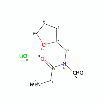 CNCC(=O)N(C=O)CC1CCCO1.Cl